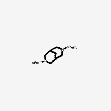 CCCCCN1CC2CC(C1)CN(CCCCC)C2